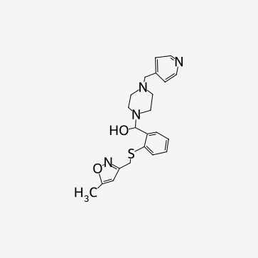 Cc1cc(CSc2ccccc2C(O)N2CCN(Cc3ccncc3)CC2)no1